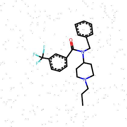 CCCN1CCC(N(Cc2ccccc2)C(=O)c2cccc(C(F)(F)F)c2)CC1